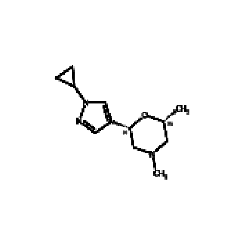 C[C@@H]1CN(C)C[C@H](c2cnn(C3CC3)c2)O1